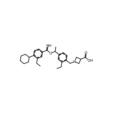 CCc1cc(C(C)OC(=N)c2ccc(C3CCCCC3)c(CC)c2)ccc1CN1CC(C(=O)O)C1